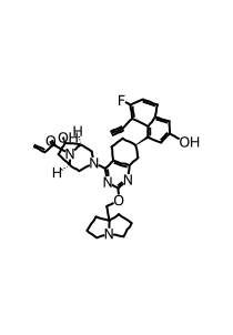 C#Cc1c(F)ccc2cc(O)cc([C@@H]3CCc4c(nc(OCC56CCCN5CCC6)nc4N4C[C@H]5C[C@@H](O)[C@@H](C4)N5C(=O)C=C)C3)c12